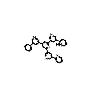 C1=CCNC(c2cncc(-c3cc(-c4cncc(-c5ccccc5)c4)cc(-c4cncc(-c5ccccn5)c4)n3)c2)=C1